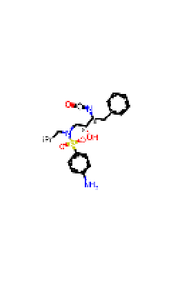 CC(C)CN(C[C@@H](O)[C@H](Cc1ccccc1)N=C=O)S(=O)(=O)c1ccc(N)cc1